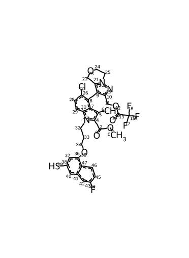 COC(=O)c1c(C)c2c(-c3c(COC(=O)C(F)(F)F)nn4c3COCC4)c(Cl)ccc2n1CCCOc1cc(S)cc2cc(F)ccc12